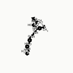 Cc1ncsc1-c1ccc([C@H](CC(=O)NCCCNC(=O)c2ccc(C(=O)Nc3ccc4[nH]c(CN5CCC[C@@H]5C)nc4c3)cc2)NC(=O)[C@@H]2C[C@@H](O)CN2C(=O)[C@@H](NC(=O)C2(F)CC2)C(C)(C)C)cc1